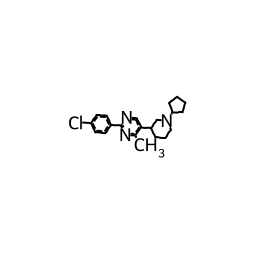 Cc1nc(-c2ccc(Cl)cc2)ncc1C1CCCN(C2CCCC2)C1